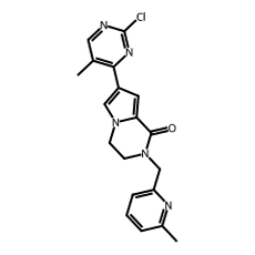 Cc1cccc(CN2CCn3cc(-c4nc(Cl)ncc4C)cc3C2=O)n1